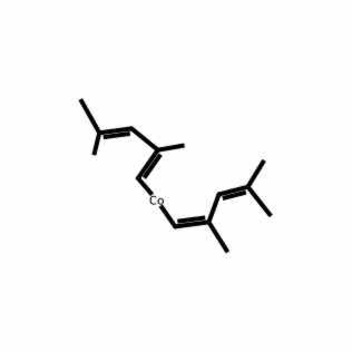 CC(C)=CC(C)=[CH][Co][CH]=C(C)C=C(C)C